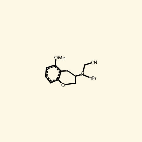 CCCN(CC#N)C1COc2cccc(OC)c2C1